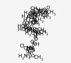 CC[C@H](C)[C@@H]([C@@H](CC(=O)N1CCC[C@H]1C[C@@H](C)C(=O)N[C@H](C)[C@@H](O)c1ccccc1)OC)N(C)C(=O)[C@@H](NC(=O)[C@H](C(C)C)N(C)C(=O)OCc1ccc(O[C@@H]2O[C@H](C(=O)O)[C@@H](O)[C@H](O)[C@H]2O)c(NC(=O)[C@H](C)NC(=O)[C@@H](NC(=O)CCOCCC(=O)NCCNc2ncc(-c3cc(C)cc(F)c3)c(N3CCC(N)CC3)c2-c2nc3ccc(Cl)cc3[nH]2)C(C)C)c1)C(C)C